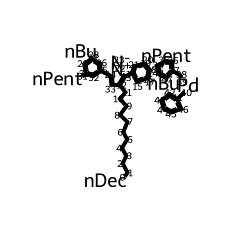 CCCCCCCCCCCCCCCCCCCCCC1=C(c2cc(CCCC)cc(CCCCC)c2)[N+](=[N-])C(c2cc(CCCC)cc(CCCCC)c2)=C1.c1ccc([CH2][Pd][CH2]c2ccccc2)cc1